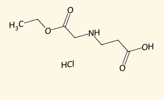 CCOC(=O)CNCCC(=O)O.Cl